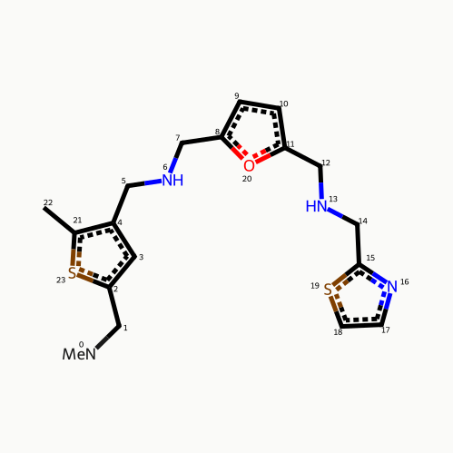 CNCc1cc(CNCc2ccc(CNCc3nccs3)o2)c(C)s1